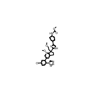 COCCC1(c2nc(-c3ccc(NC(=O)OC)cc3)c[nH]2)CCc2cc(-c3cc(Cl)ccc3-n3cnnn3)c[n+](OC)c21